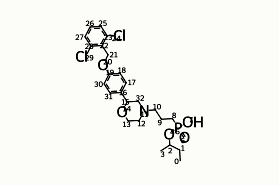 CCC(C)OP(=O)(O)CCCN1CCOC(c2ccc(OCc3c(Cl)cccc3Cl)cc2)C1